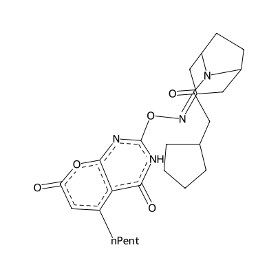 CCCCCc1cc(=O)oc2nc(ON=C3CC4CCC(C3)N4C(=O)CC3CCCC3)[nH]c(=O)c12